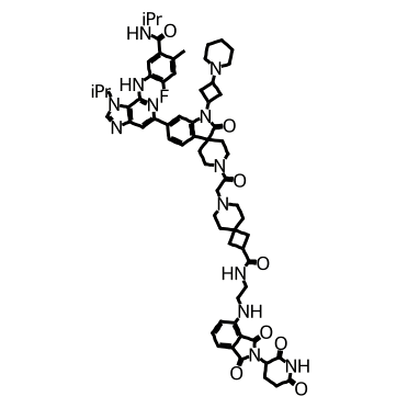 Cc1cc(F)c(Nc2nc(-c3ccc4c(c3)N(C3CC(N5CCCCC5)C3)C(=O)C43CCN(C(=O)CN4CCC5(CC4)CC(C(=O)NCCNc4cccc6c4C(=O)N(C4CCC(=O)NC4=O)C6=O)C5)CC3)cc3ncn(C(C)C)c23)cc1C(=O)NC(C)C